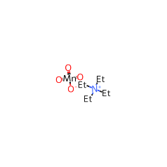 CC[N+](CC)(CC)CC.[O]=[Mn](=[O])(=[O])[O-]